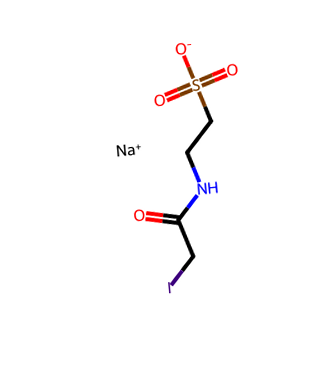 O=C(CI)NCCS(=O)(=O)[O-].[Na+]